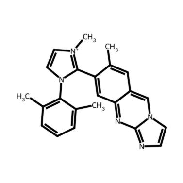 Cc1cc2cn3ccnc3nc2cc1-c1n(-c2c(C)cccc2C)cc[n+]1C